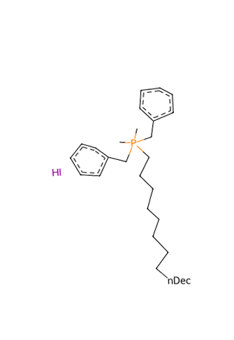 CCCCCCCCCCCCCCCCCCP(C)(C)(Cc1ccccc1)Cc1ccccc1.I